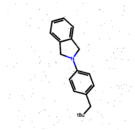 CC(C)(C)Cc1ccc(N2Cc3ccccc3C2)cc1